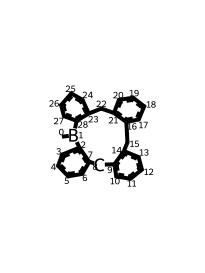 CB1c2ccccc2Cc2ccccc2Cc2ccccc2Cc2ccccc21